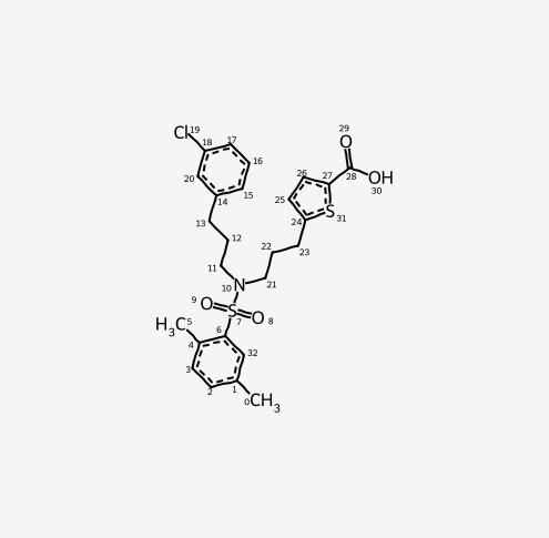 Cc1ccc(C)c(S(=O)(=O)N(CCCc2cccc(Cl)c2)CCCc2ccc(C(=O)O)s2)c1